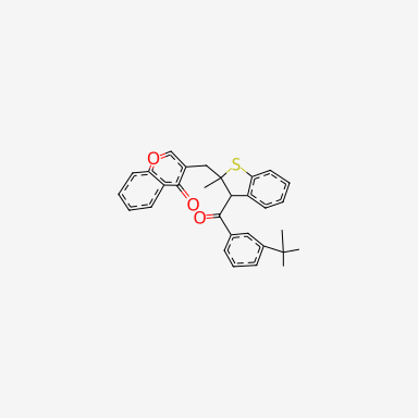 CC(C)(C)c1cccc(C(=O)C2c3ccccc3SC2(C)Cc2coc3ccccc3c2=O)c1